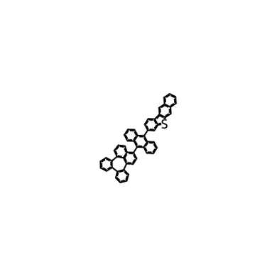 c1ccc2c(c1)-c1ccccc1-c1ccc(-c3c4ccccc4c(-c4ccc5c(c4)sc4cc6ccccc6cc45)c4ccccc34)c3cccc-2c13